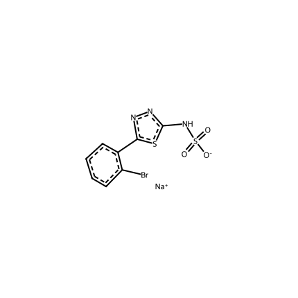 O=S(=O)([O-])Nc1nnc(-c2ccccc2Br)s1.[Na+]